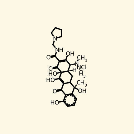 CN(C)[C@@H]1C(O)=C(C(=O)NCN2CCCC2)C(=O)[C@@]2(O)C(O)=C3C(=O)c4c(O)cccc4[C@@](C)(O)C3C[C@@H]12.Cl